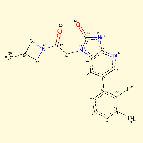 Cc1cccc(-c2cnc3[nH]c(=O)n(CC(=O)N4CC(C(F)(F)F)C4)c3c2)c1F